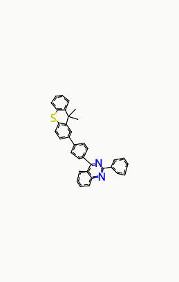 CC1(C)c2ccccc2Sc2ccc(-c3ccc(-c4nc(-c5ccccc5)nc5ccccc45)cc3)cc21